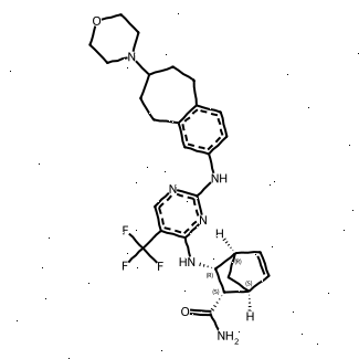 NC(=O)[C@@H]1[C@H](Nc2nc(Nc3ccc4c(c3)CCC(N3CCOCC3)CC4)ncc2C(F)(F)F)[C@H]2C=C[C@@H]1C2